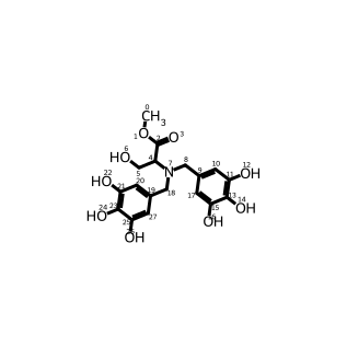 COC(=O)C(CO)N(Cc1cc(O)c(O)c(O)c1)Cc1cc(O)c(O)c(O)c1